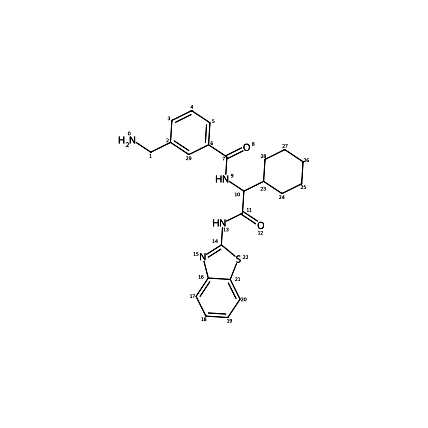 NCc1cccc(C(=O)NC(C(=O)Nc2nc3ccccc3s2)C2CCCCC2)c1